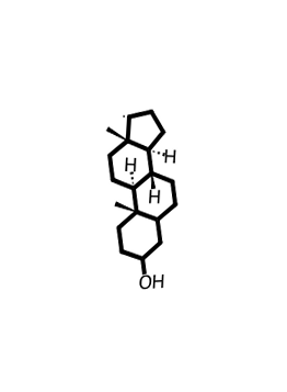 C[C@@]12[CH]CC[C@H]1[C@@H]1CCC3CC(O)CC[C@]3(C)[C@H]1CC2